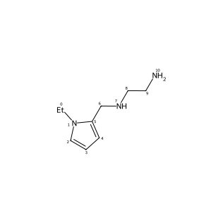 CCn1cccc1CNCCN